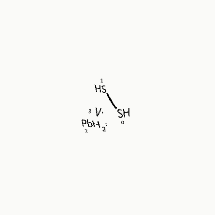 SS.[PbH2].[V]